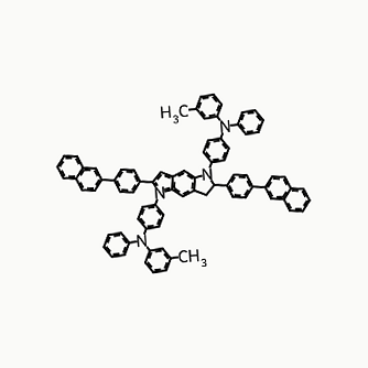 Cc1cccc(N(c2ccccc2)c2ccc(N3c4cc5cc(-c6ccc(-c7ccc8ccccc8c7)cc6)n(-c6ccc(N(c7ccccc7)c7cccc(C)c7)cc6)c5cc4CC3c3ccc(-c4ccc5ccccc5c4)cc3)cc2)c1